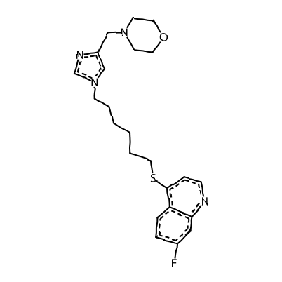 Fc1ccc2c(SCCCCCCn3cnc(CN4CCOCC4)c3)ccnc2c1